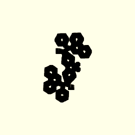 CCC1(N(c2ccccc2)c2cc3ccccc3c3ccccc23)c2cc3c(cc21)C(C)(C)c1cc2c(cc1-3)C2(CC)N(c1ccccc1)c1cc2ccccc2c2ccccc12